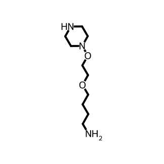 NCCCCOCCON1CCNCC1